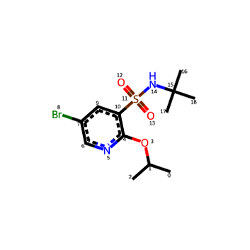 CC(C)Oc1ncc(Br)cc1S(=O)(=O)NC(C)(C)C